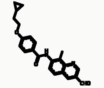 Cc1c(NC(=O)c2ccc(OCCC3CC3)cc2)ccc2cc(C=O)cnc12